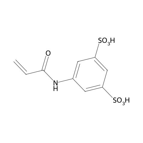 C=CC(=O)Nc1cc(S(=O)(=O)O)cc(S(=O)(=O)O)c1